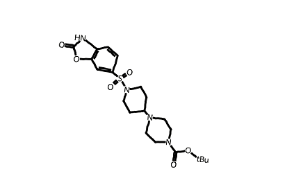 CC(C)(C)OC(=O)N1CCN(C2CCN(S(=O)(=O)c3ccc4[nH]c(=O)oc4c3)CC2)CC1